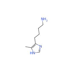 Cc1[nH]cnc1CCCCN